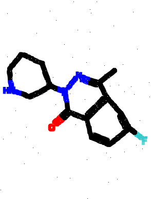 Cc1nn(C2CCCNC2)c(=O)c2ccc(F)cc12